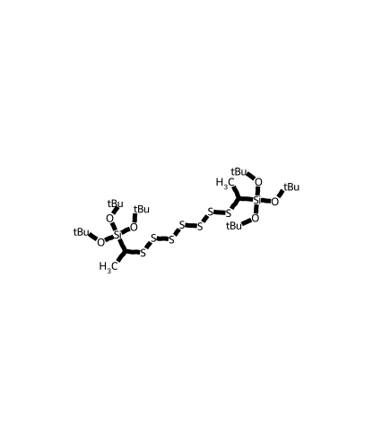 CC(SSSSSSSC(C)[Si](OC(C)(C)C)(OC(C)(C)C)OC(C)(C)C)[Si](OC(C)(C)C)(OC(C)(C)C)OC(C)(C)C